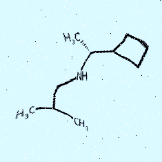 CC(C)CN[C@H](C)C1CCC1